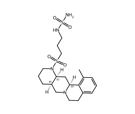 Cc1cccc2c1[C@@H]1C[C@H]3[C@H](CCCN3S(=O)(=O)CCCNS(N)(=O)=O)CN1CC2